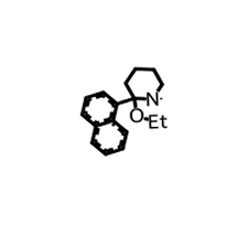 CCOC1(c2cccc3ccccc23)CCCC[N]1